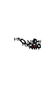 CNC1CCC(C2=C(N)C(c3cccc(C#N)c3-n3nnc4ccccc43)c3c[nH]nc3N2)CC1